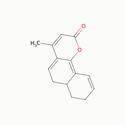 Cc1cc(=O)oc2c1=CCC1CCC=CC=21